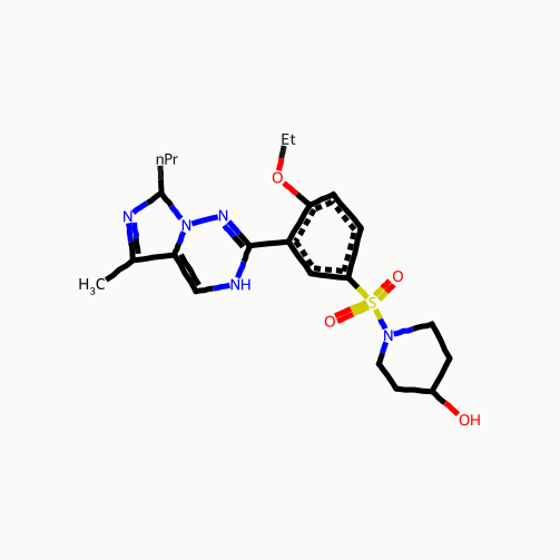 CCCC1N=C(C)C2=CNC(c3cc(S(=O)(=O)N4CCC(O)CC4)ccc3OCC)=NN21